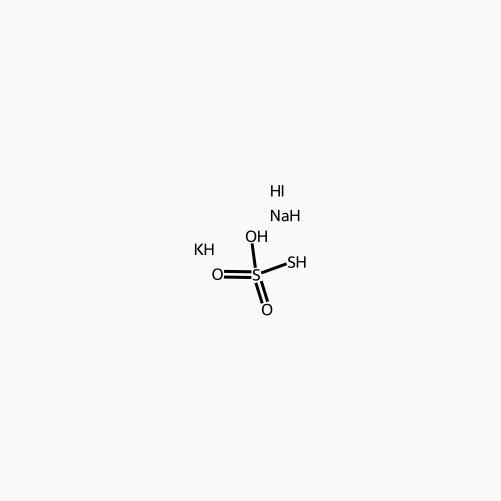 I.O=S(=O)(O)S.[KH].[NaH]